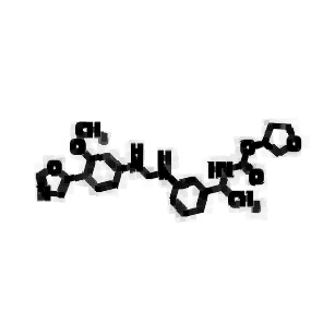 COc1cc(NCNc2cccc(C(C)NC(=O)O[C@H]3CCOC3)c2)ccc1-c1cnco1